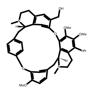 CCCc1c2c3c(c(OC)c1OC)Oc1cc4c(cc1CO)CCN(C)[C@H]4Cc1ccc(cc1)Oc1cc(ccc1OC)C[C@@H]3N(C)CC2